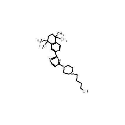 CC1(C)CCC(C)(C)c2cc(-c3nccc(N4CCN(CCCCO)CC4)n3)ccc21